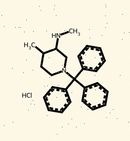 CNC1CN(C(c2ccccc2)(c2ccccc2)c2ccccc2)CCC1C.Cl